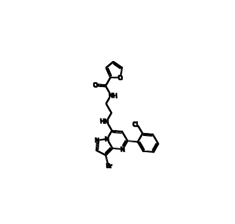 O=C(NCCNc1cc(-c2ccccc2Cl)nc2c(Br)cnn12)c1ccco1